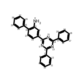 Nc1cc(-c2nc(-c3ccccc3)nc(-c3ccccc3)n2)ccc1-c1ccccc1